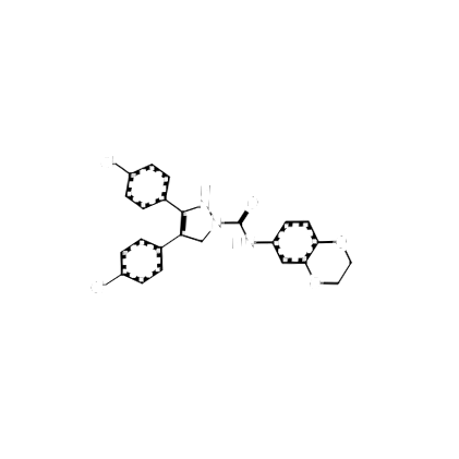 O=C(Nc1ccc2c(c1)OCCO2)N1CC(c2ccc(Cl)cc2)=C(c2ccc(Cl)cc2)N1